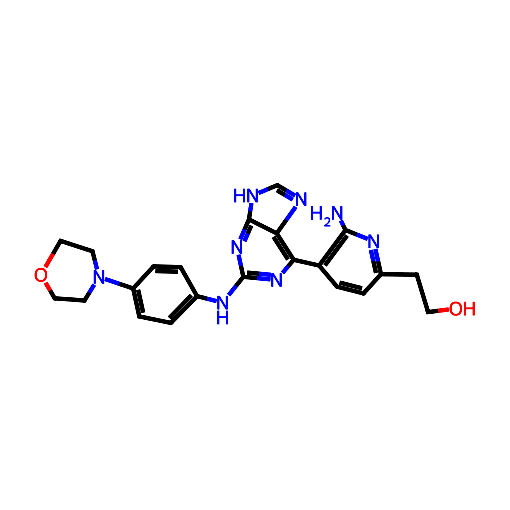 Nc1nc(CCO)ccc1-c1nc(Nc2ccc(N3CCOCC3)cc2)nc2[nH]cnc12